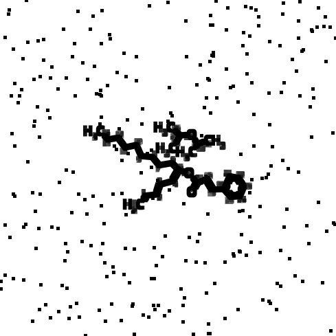 C=CC=CC=C(CCCCCCCCC)OC(=O)C=Cc1ccccc1.CC(C)OC(C)C